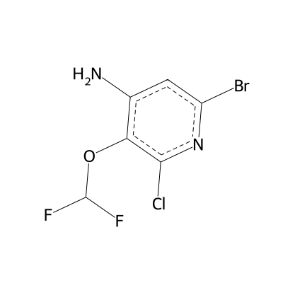 Nc1cc(Br)nc(Cl)c1OC(F)F